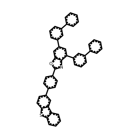 c1ccc(-c2cccc(-c3cc(-c4cccc(-c5ccccc5)c4)c4nc(-c5ccc(-c6ccc7sc8ccccc8c7c6)cc5)oc4c3)c2)cc1